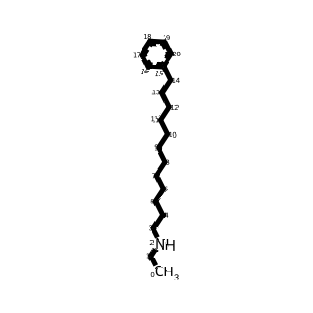 CCNCCCCCCCCCCCCc1ccccc1